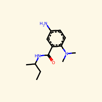 CCC(C)NC(=O)c1cc(N)ccc1N(C)C